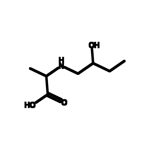 CCC(O)CNC(C)C(=O)O